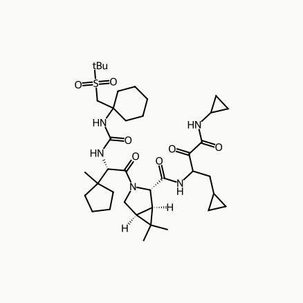 CC1([C@H](NC(=O)NC2(CS(=O)(=O)C(C)(C)C)CCCCC2)C(=O)N2C[C@H]3[C@@H]([C@H]2C(=O)NC(CC2CC2)C(=O)C(=O)NC2CC2)C3(C)C)CCCC1